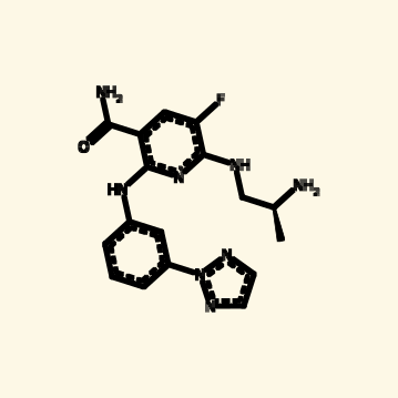 C[C@H](N)CNc1nc(Nc2cccc(-n3nccn3)c2)c(C(N)=O)cc1F